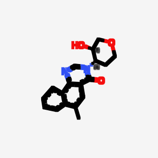 Cc1cc2c(=O)n([C@H]3CCOC[C@@H]3O)cnc2c2ccccc12